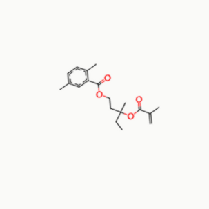 C=C(C)C(=O)OC(C)(CC)CCOC(=O)c1cc(C)ccc1C